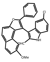 COc1ccc2ccc3oc(-c4ccccc4)c(-c4c(C=O)[nH]c5ccc(Cl)cc45)c3c2c1